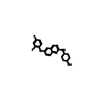 OC1CCC(Nc2ncc3cc(Oc4ccc(F)cc4F)ccc3n2)CC1